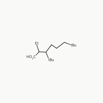 CCC(C(=O)O)C(CCCC(C)(C)C)C(C)(C)C